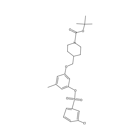 Cc1cc(OCC2CCN(C(=O)OC(C)(C)C)CC2)cc(OS(=O)(=O)c2cccc(Cl)c2)c1